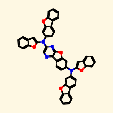 c1ccc2oc(N(c3ccc4c(c3)oc3ccccc34)c3ccc4c(c3)oc3nc(N(c5ccc6c(c5)oc5ccccc56)c5cc6ccccc6o5)cnc34)cc2c1